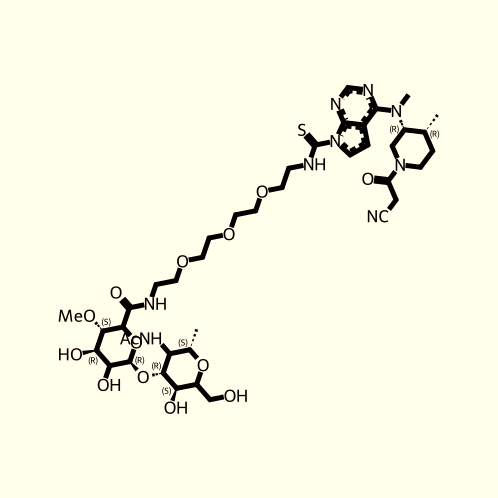 CO[C@@H]1C(C(=O)NCCOCCOCCOCCNC(=S)n2ccc3c(N(C)[C@H]4CN(C(=O)CC#N)CC[C@H]4C)ncnc32)O[C@@H](O[C@@H]2C(NC(C)=O)[C@H](C)OC(CO)[C@H]2O)C(O)[C@H]1O